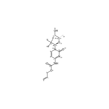 C=CCOC(=O)Nc1ccn([C@H](O[C@@H](C)CO)C(C)(F)F)c(=O)n1